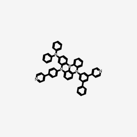 c1ccc(-c2cc(-c3ccncc3)cc(N3c4ccccc4B4c5ccc(N(c6ccccc6)c6ccccc6)cc5N(c5ccc(-c6ccncc6)cc5)c5cccc3c54)c2)cc1